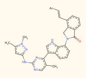 CC(=O)/C=C/c1cccc2c1CN(c1cccc3c(-c4nc(Nc5cc(C)n(C)n5)ncc4C)c[nH]c13)C2=O